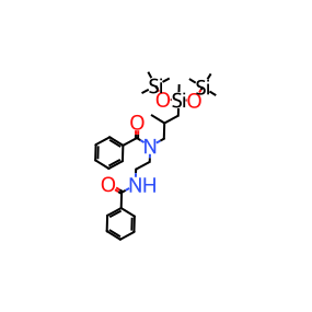 CC(CN(CCNC(=O)c1ccccc1)C(=O)c1ccccc1)C[Si](C)(O[Si](C)(C)C)O[Si](C)(C)C